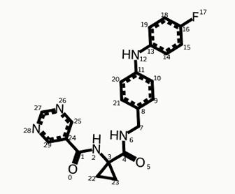 O=C(NC1(C(=O)NCc2ccc(Nc3ccc(F)cc3)cc2)CC1)c1cncnc1